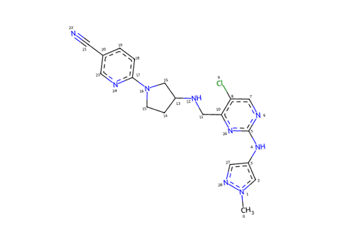 Cn1cc(Nc2ncc(Cl)c(CNC3CCN(c4ccc(C#N)cn4)C3)n2)cn1